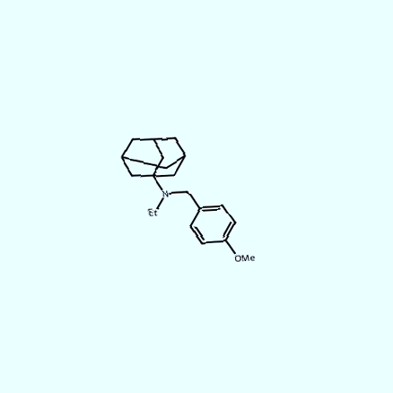 CCN(Cc1ccc(OC)cc1)C12CC3CC(CC(C3)C1)C2